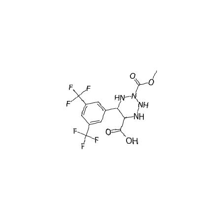 COC(=O)N1NNC(C(=O)O)C(c2cc(C(F)(F)F)cc(C(F)(F)F)c2)N1